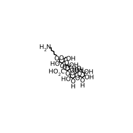 NCCCCCO[C@@H]1OC(CO)[C@@H](O[C@@H]2OC(C(=O)O)[C@@H](O[C@H]3OC(CO)[C@H](O[C@H]4OC(CO)[C@@H](O)[C@H](O)C4O)C(O)C3O)C(O)[C@@H]2O)C(O)[C@@H]1O